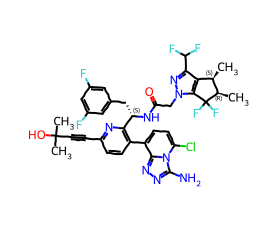 C[C@@H]1c2c(C(F)F)nn(CC(=O)N[C@@H](Cc3cc(F)cc(F)c3)c3nc(C#CC(C)(C)O)ccc3-c3ccc(Cl)n4c(N)nnc34)c2C(F)(F)[C@@H]1C